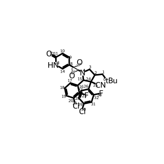 CC(C)(C)CC1CN(S(=O)(=O)c2ccc(=O)[nH]c2)C(c2cccc(Cl)c2F)C1(C#N)c1ccc(Cl)cc1F